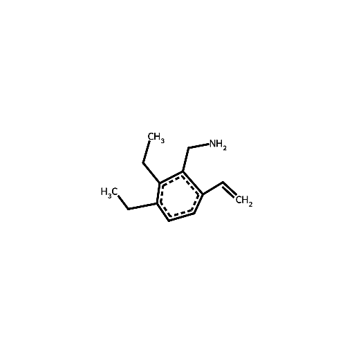 C=Cc1ccc(CC)c(CC)c1CN